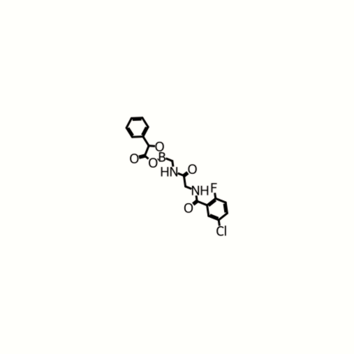 O=C(CNC(=O)c1cc(Cl)ccc1F)NCB1OC(=O)C(c2ccccc2)O1